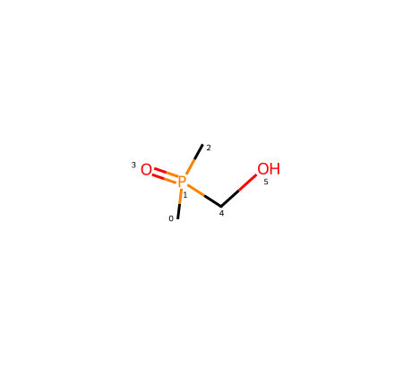 CP(C)(=O)CO